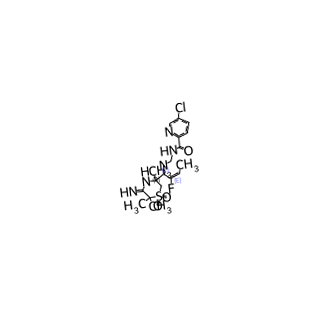 C/C=C(F)\C(=N/CNC(=O)c1ccc(Cl)cn1)[C@]1(C)CS(=O)(=O)C(C)(C)C(=N)N1